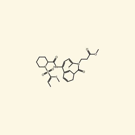 C/C=C(\SC)S(=O)(=O)N1CCCCC1C(=O)N/C1=C/C=C(\I)N(CCC(=O)OC)C(=O)C2C=C1C=CC2